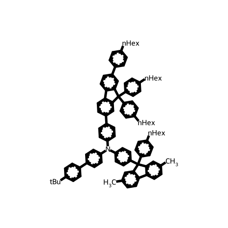 CCCCCCc1ccc(-c2ccc3c(c2)C(c2ccc(CCCCCC)cc2)(c2ccc(CCCCCC)cc2)c2cc(-c4ccc(N(c5ccc(-c6ccc(C(C)(C)C)cc6)cc5)c5ccc(C6(c7ccc(CCCCCC)cc7)c7cc(C)ccc7-c7ccc(C)cc76)cc5)cc4)ccc2-3)cc1